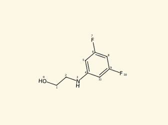 OCCNc1cc(F)cc(F)c1